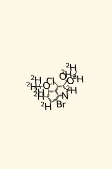 [2H]CC([2H])([2H])OC(=O)c1c([2H])nc2c(Br)c([2H])c([2H])c(OC([2H])([2H])[2H])c2c1Cl